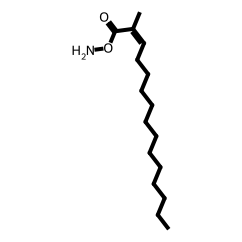 CCCCCCCCCCCCC=C(C)C(=O)ON